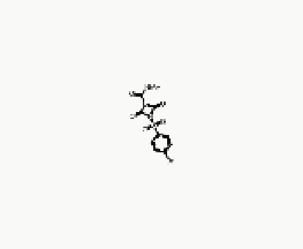 CNC(=O)B1C(=O)N(S(=O)(=O)c2ccc(Br)cc2)C1=O